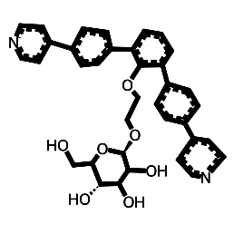 OCC1O[C@@H](OCCOc2c(-c3ccc(-c4ccncc4)cc3)cccc2-c2ccc(-c3ccncc3)cc2)C(O)C(O)[C@@H]1O